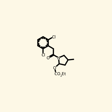 CCOC(=O)OC1CC(C)CN1C(=O)Cc1c(Cl)cccc1Cl